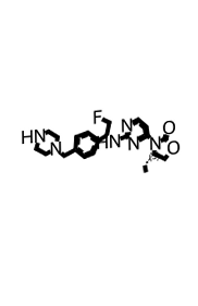 CC[C@H]1COC(=O)N1c1ccnc(NC(CF)c2ccc(CN3CCNCC3)cc2)n1